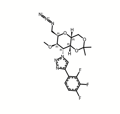 CO[C@@H]1[C@@H](n2cc(-c3ccc(F)c(F)c3F)nn2)[C@H]2OC(C)(C)OC[C@H]2O[C@@H]1CN=[N+]=[N-]